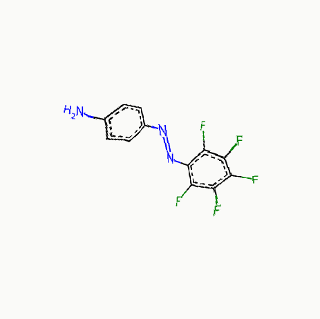 Nc1ccc(N=Nc2c(F)c(F)c(F)c(F)c2F)cc1